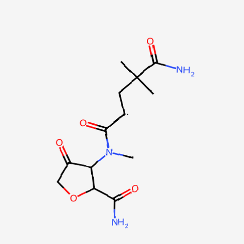 CN(C(=O)[CH]CC(C)(C)C(N)=O)C1C(=O)COC1C(N)=O